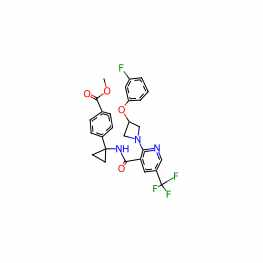 COC(=O)c1ccc(C2(NC(=O)c3cc(C(F)(F)F)cnc3N3CC(Oc4cccc(F)c4)C3)CC2)cc1